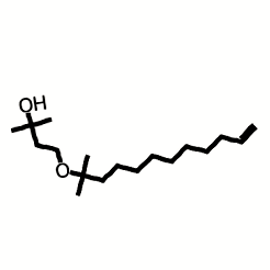 C=CCCCCCCCCC(C)(C)OCCC(C)(C)O